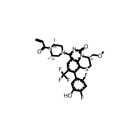 C=CC(=O)N1[C@H](C)CN(c2nc(=O)n3c4c(c(-c5cc(O)c(F)cc5F)c(C(F)(F)F)cc24)SC[C@@H]3COC)C[C@@H]1C